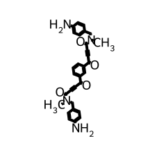 CN(Cc1ccc(N)cc1)C(=O)C#CC(=O)c1cccc(C(=O)C#CC(=O)N(C)Cc2ccc(N)cc2)c1